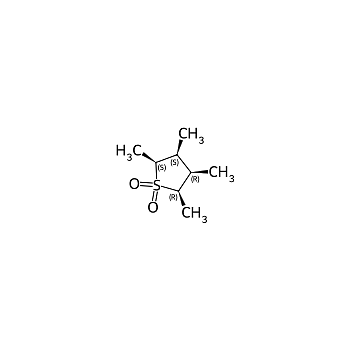 C[C@@H]1[C@H](C)[C@H](C)S(=O)(=O)[C@@H]1C